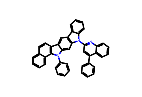 c1ccc(-c2cc(-n3c4ccccc4c4cc5c6ccc7ccccc7c6n(-c6ccccc6)c5cc43)nc3ccccc23)cc1